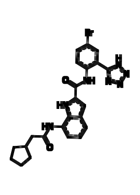 O=C(CC1CCCC1)Nc1cccc2cc(C(=O)Nc3ccc(Br)cc3-c3nnn[nH]3)[nH]c12